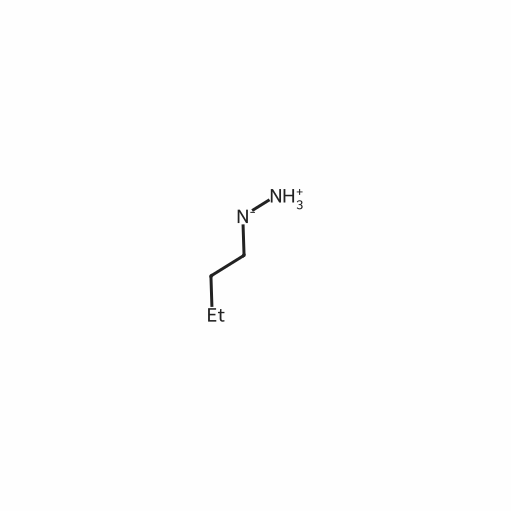 CCCC[N-][NH3+]